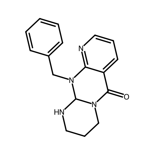 O=C1c2cccnc2N(Cc2ccccc2)C2NCCCN12